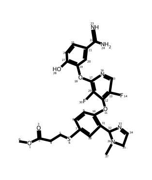 COC(=O)CCSc1ccc(Oc2c(F)cnc(Oc3cc(C(=N)N)ccc3O)c2F)c(C2N=CCN2C)c1